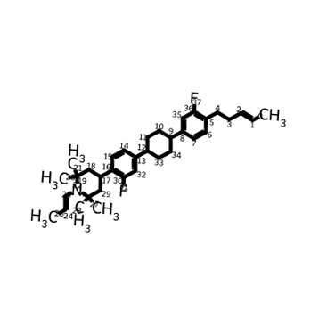 C/C=C/CCc1ccc(C2CCC(c3ccc(C4CC(C)(C)N(/C=C/C)C(C)(C)C4)c(F)c3)CC2)cc1F